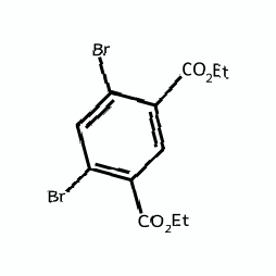 CCOC(=O)c1cc(C(=O)OCC)c(Br)cc1Br